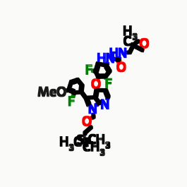 COc1cccc(-c2cn(COCC[Si](C)(C)C)c3nccc(Oc4c(F)cc(NC(=O)NCC5(C)COC5)cc4F)c23)c1F